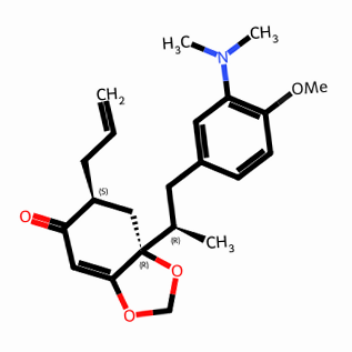 C=CC[C@H]1C[C@]2([C@H](C)Cc3ccc(OC)c(N(C)C)c3)OCOC2=CC1=O